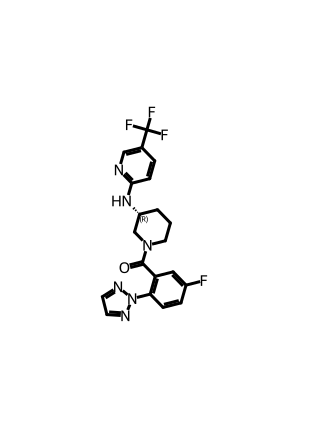 O=C(c1cc(F)ccc1-n1nccn1)N1CCC[C@@H](Nc2ccc(C(F)(F)F)cn2)C1